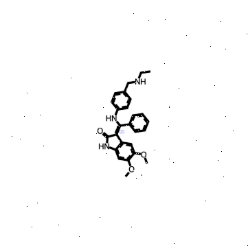 CCNCc1ccc(N/C(=C2\C(=O)Nc3cc(OC)c(OC)cc32)c2ccccc2)cc1